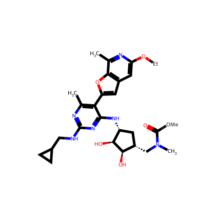 CCOc1cc2cc(-c3c(C)nc(NCC4CC4)nc3N[C@@H]3C[C@H](CN(C)C(=O)OC)[C@@H](O)[C@H]3O)oc2c(C)n1